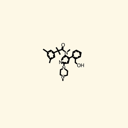 Cc1cc(C)cc(C(C)(C)C(=O)N(C)c2cnc(N3CCN(C)CC3)cc2-c2ccccc2CO)c1